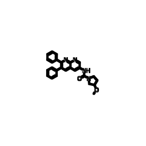 COC1CCN(C(=O)Nc2cnc3nc(-c4ccccc4)c(-c4ccccc4)cc3c2)C1